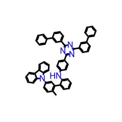 Cc1ccc(-n2c3ccccc3c3ccccc32)cc1-c1ccccc1Nc1ccc(-c2nc(-c3cccc(-c4ccccc4)c3)nc(-c3cccc(-c4ccccc4)c3)n2)cc1